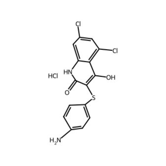 Cl.Nc1ccc(Sc2c(O)c3c(Cl)cc(Cl)cc3[nH]c2=O)cc1